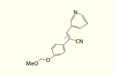 COCOc1ccc(/C(C#N)=C/c2cccnc2)cc1